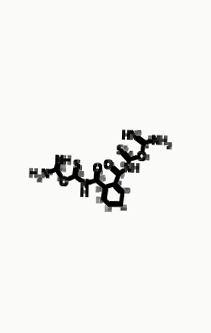 N=C(N)OC(=S)NC(=O)c1ccccc1C(=O)NC(=S)OC(=N)N